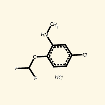 CNc1cc(Cl)ccc1OC(F)F.Cl